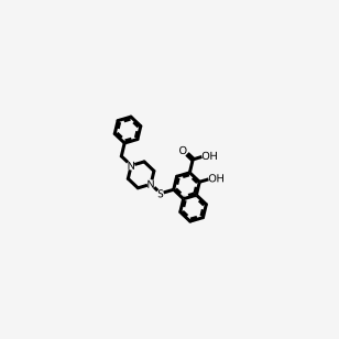 O=C(O)c1cc(SN2CCN(Cc3ccccc3)CC2)c2ccccc2c1O